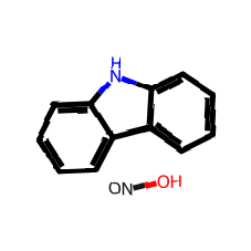 O=NO.c1ccc2c(c1)[nH]c1ccccc12